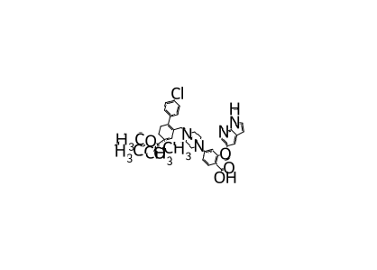 CC(C)(C)OC(=O)C1(C)CCC(c2ccc(Cl)cc2)=C(CN2CCN(c3ccc(C(=O)O)c(Oc4cnc5[nH]ccc5c4)c3)CC2)C1